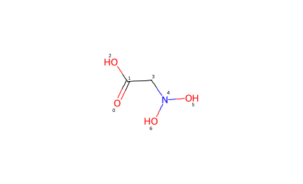 O=C(O)CN(O)O